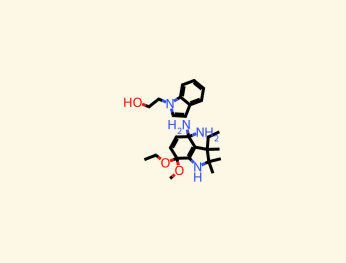 CCOC1(OC)C=CC(N)(N)C2=C1NC(C)(C)C2(C)CC.OCCn1ccc2ccccc21